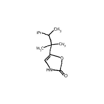 CC(C)C(C)C(C)(C)c1c[nH]c(=O)o1